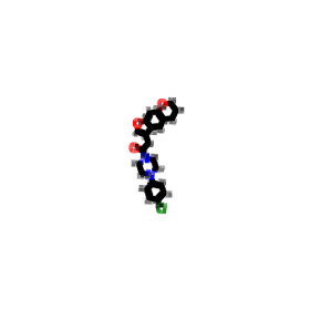 O=C(Cc1coc2cc3c(cc12)CCCO3)N1CCN(c2ccc(Cl)cc2)CC1